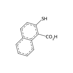 O=C(O)c1c(S)ccc2ccccc12